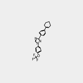 FC(F)(F)Oc1ccc(-n2cnc(-c3ccc(C4=CCCCC4)cc3)n2)cc1